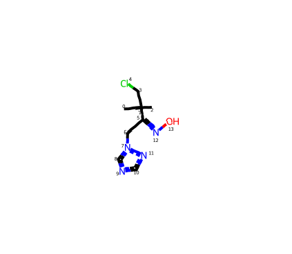 CC(C)(CCl)C(Cn1cncn1)=NO